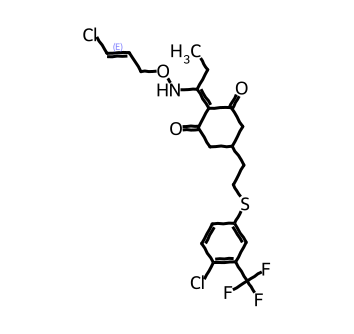 CCC(NOC/C=C/Cl)=C1C(=O)CC(CCSc2ccc(Cl)c(C(F)(F)F)c2)CC1=O